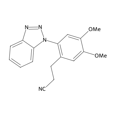 COc1cc(CCC#N)c(-n2nnc3ccccc32)cc1OC